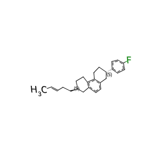 CC=CCC[C@H]1CCc2c(ccc3c2CC[C@H](c2ccc(F)cc2)C3)C1